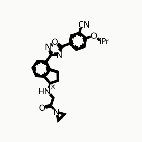 CC(C)Oc1ccc(-c2nc(-c3cccc4c3CC[C@H]4NCC(=O)N3CC3)no2)cc1C#N